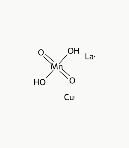 [Cu].[La].[O]=[Mn](=[O])([OH])[OH]